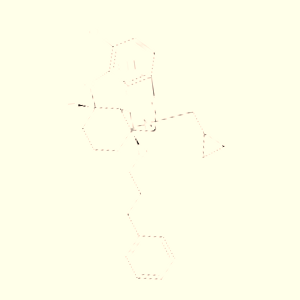 C[C@@H]1CN(CC2CC2)C2Cc3ccc(O)c4c3[C@]13[C@H](CCC[C@@]23OCCCc1ccccc1)O4